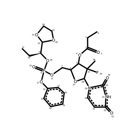 CCC(=O)OC1C(COP(=O)(Oc2ccccc2)O[C@@H](CC)C2OCCO2)OC(n2ccc(=O)[nH]c2=O)C1(C)F